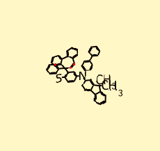 CC1(C)C2=CC(N(c3ccc(-c4ccccc4)cc3)c3ccc4c(c3)C3(c5ccccc5S4)c4ccccc4-c4ccccc4-c4ccccc43)CC=C2c2ccccc21